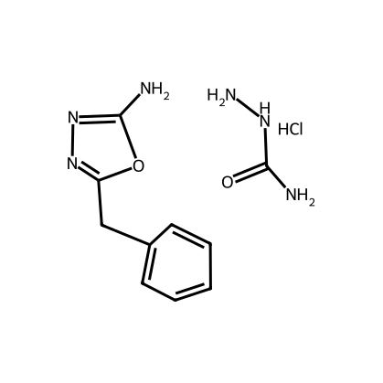 Cl.NNC(N)=O.Nc1nnc(Cc2ccccc2)o1